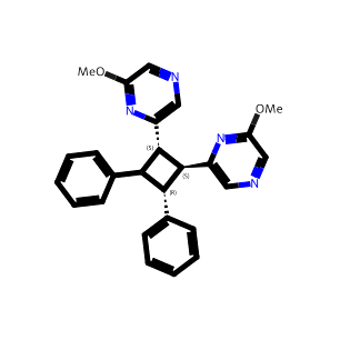 COc1cncc([C@H]2[C@H](c3ccccc3)C(c3ccccc3)[C@@H]2c2cncc(OC)n2)n1